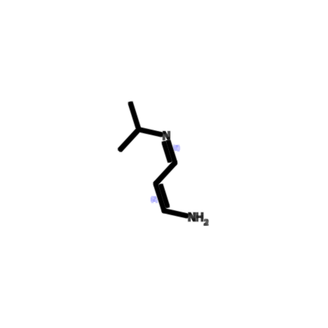 CC(C)/N=C\C=C/N